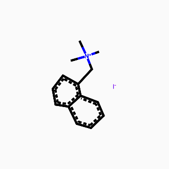 C[N+](C)(C)Cc1cccc2ccccc12.[I-]